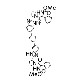 COC(=O)N[C@@H](C(=O)N1CCC[C@@H]1c1nc2ccc(-c3ccc(-c4ccc5nc([C@@H]6CCCN6C(=O)[C@H](NC(=O)OC)c6ccccc6)[nH]c5c4)cc3)cc2[nH]1)c1ccccc1